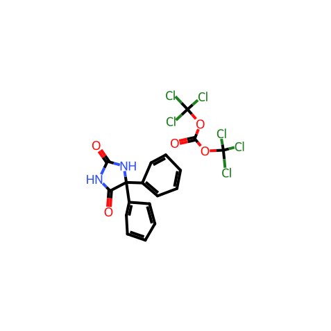 O=C(OC(Cl)(Cl)Cl)OC(Cl)(Cl)Cl.O=C1NC(=O)C(c2ccccc2)(c2ccccc2)N1